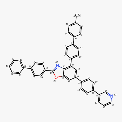 N#Cc1ccc(-c2ccc(-c3cc(-c4ccc(-c5cccnc5)cc4)cc4oc(-c5ccc(-c6ccccc6)cc5)nc34)cc2)cc1